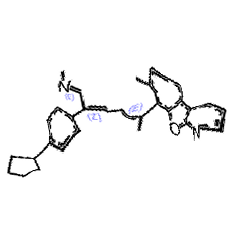 C/N=C/C(=C\C=C(/C)c1c(C)ccc2c1oc1ncccc12)c1ccc(C2CCCC2)cc1